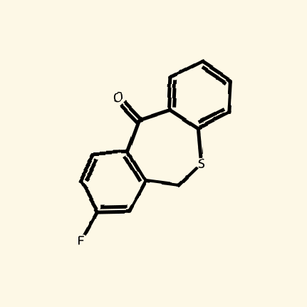 O=C1c2ccc(F)cc2CSc2ccccc21